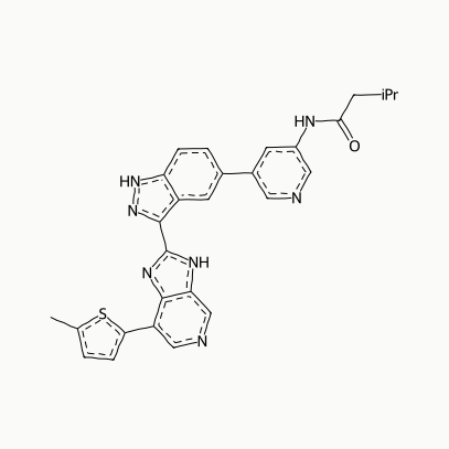 Cc1ccc(-c2cncc3[nH]c(-c4n[nH]c5ccc(-c6cncc(NC(=O)CC(C)C)c6)cc45)nc23)s1